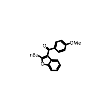 CCCCc1oc2ccccc2c1C(=O)c1ccc(OC)cc1